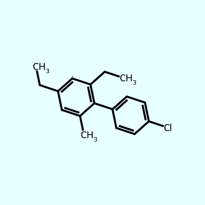 CCc1[c]c(CC)c(-c2ccc(Cl)cc2)c(C)c1